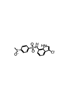 C[S+]([O-])c1ccc(S(=O)(=O)Nc2cccc3c(Cl)c[nH]c23)cc1